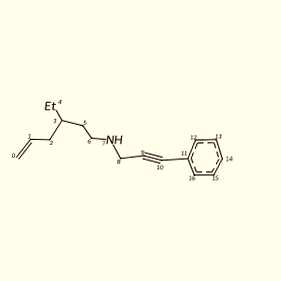 C=CCC(CC)CCNCC#Cc1ccccc1